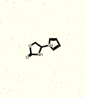 O=C1NC([SH]2C=CC=C2)CO1